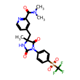 CN(C)C(=O)c1cc(CC2(C)NC(=O)N(c3ccc(S(=O)(=O)C(F)(F)F)cc3)C2=O)ccn1